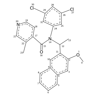 COc1cc2ccccc2cc1C(C)N(C(=O)c1ccncc1C)c1cc(Cl)cc(Cl)c1